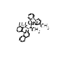 C=C(CC(C)c1ccccc1-c1nccc2ccccc12)C[n+]1cc(C)ccc1-c1ccccc1C